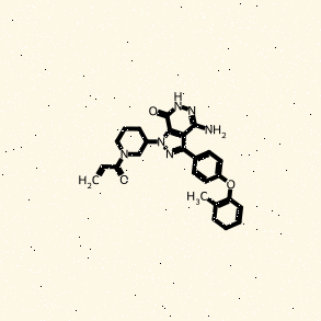 C=CC(=O)N1CCCC(n2nc(-c3ccc(OC4=C(C)CCC=C4)cc3)c3c(N)n[nH]c(=O)c32)C1